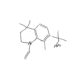 C=CN1CCC(C)(C)c2ccc(C(C)(C)CCC)c(C)c21